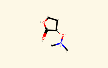 CN(C)O[C@H]1CCOC1=O